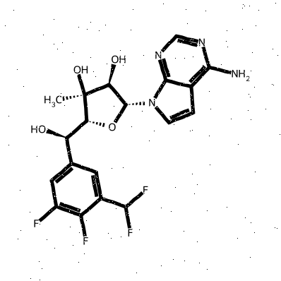 C[C@@]1(O)[C@@H]([C@H](O)c2cc(F)c(F)c(C(F)F)c2)O[C@@H](n2ccc3c(N)ncnc32)[C@@H]1O